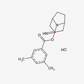 Cc1cc(C)cc(C(=O)OC2CC3CCC(C2)N3C=N)c1.Cl